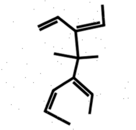 C=C/C(=C\C)C(C)(C)C(/C=C\C)=C/C